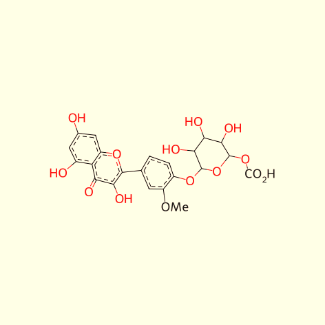 COc1cc(-c2oc3cc(O)cc(O)c3c(=O)c2O)ccc1OC1OC(OC(=O)O)C(O)C(O)C1O